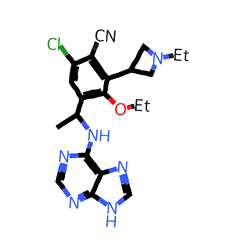 CCOc1c(C(C)Nc2ncnc3[nH]cnc23)cc(Cl)c(C#N)c1C1CN(CC)C1